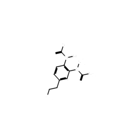 CCOC(=O)CCc1ccc(N(N)C(N)=O)c(N(N)C(N)=O)c1